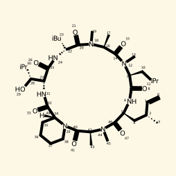 C=C[C@H](C)C[C@@H]1NC(=O)[C@H](CC(C)C)N(C)C(=O)[C@H](C)N(C)C(=O)[C@@H]([C@@H](C)CC)NC(=O)[C@@H]([C@H](O)C(C)C)NC(=O)[C@H]2CCCCN2C(=O)[C@H](C)N(C)C1=O